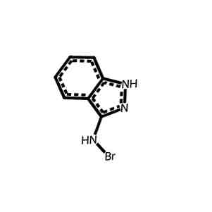 BrNc1n[nH]c2ccccc12